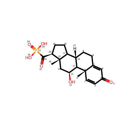 C[C@]12C=CC(=O)C=C1CC[C@@H]1C2[C@@H](O)C[C@@]2(C)C1CC[C@@H]2C(=O)P(=O)(O)O